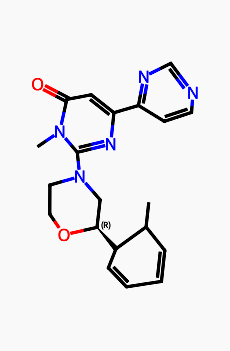 CC1C=CC=CC1[C@@H]1CN(c2nc(-c3ccncn3)cc(=O)n2C)CCO1